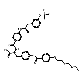 CCCCCCCOc1ccc(C(=O)Oc2ccc(C[C@H](NC(=O)c3ccc(NC(=O)Cc4cccc(OC(F)(F)F)c4)cc3)C(=O)O)cc2)cc1